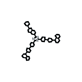 c1ccc(-c2ccc3cc(-c4nc(-c5ccc(-c6ccc(-c7cccc8ccccc78)cc6)cc5)nc(-c5ccc(-c6ccc(-c7cccc8ccccc78)cc6)cc5)n4)ccc3c2)cc1